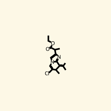 CCOC(=O)C(C)c1cn2c(n1)C(=C(C)C)C(C)C(Cl)=C2